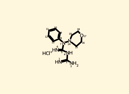 Cl.N=C(N)NC(=N)N(c1ccccc1)N1CCOCC1